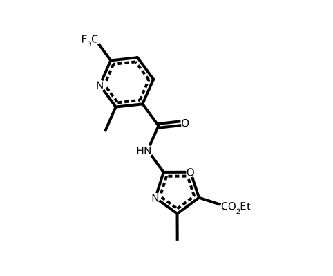 CCOC(=O)c1oc(NC(=O)c2ccc(C(F)(F)F)nc2C)nc1C